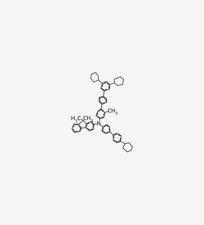 Cc1cc(N(c2ccc(-c3ccc(C4CCCCC4)cc3)cc2)c2ccc3c(c2)C(C)(C)c2ccccc2-3)ccc1-c1ccc(-c2cc(C3CCCCC3)cc(C3CCCCC3)c2)cc1